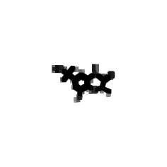 C[C@H]1Oc2c(F)cc(C(C)(C)O)cc2NC1=O